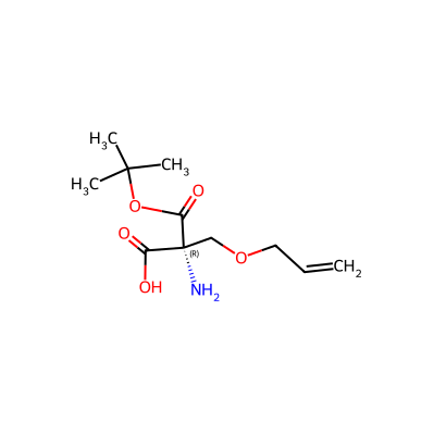 C=CCOC[C@@](N)(C(=O)O)C(=O)OC(C)(C)C